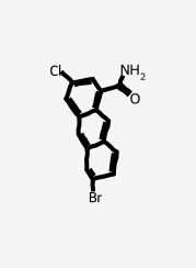 NC(=O)c1cc(Cl)cc2cc3cc(Br)ccc3cc12